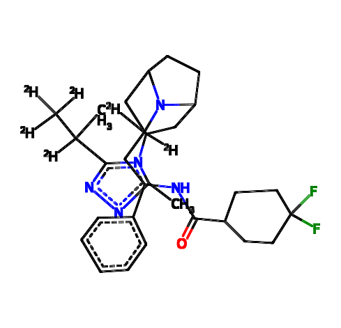 [2H]C([2H])(CC(NC(=O)C1CCC(F)(F)CC1)c1ccccc1)N1C2CCC1CC(n1c(C)nnc1C([2H])(C)C([2H])([2H])[2H])C2